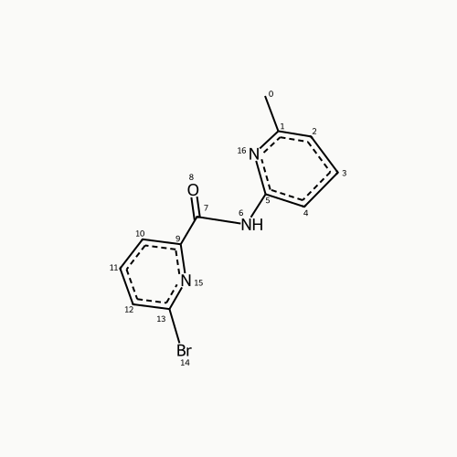 Cc1cccc(NC(=O)c2cccc(Br)n2)n1